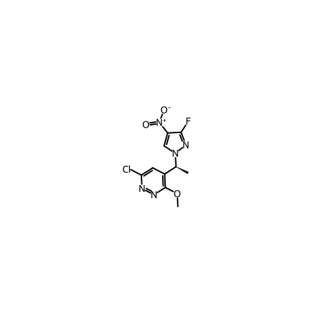 COc1nnc(Cl)cc1[C@H](C)n1cc([N+](=O)[O-])c(F)n1